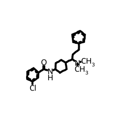 CN(C)C(CCc1ccccc1)C1CCC(NC(=O)c2cccc(Cl)c2)CC1